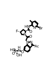 CC(=O)c1nn(CC(=O)N2C[C@H](F)C[C@H]2C(=O)Nc2nc(Br)ccc2C)c2cc(ONP(=O)(O)O)ccc12